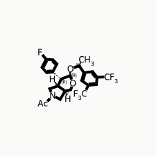 CC(=O)N1C[C@@H]2CO[C@H](O[C@H](C)c3cc(C(F)(F)F)cc(C(F)(F)F)c3)[C@@H](c3ccc(F)cc3)[C@@H]2C1